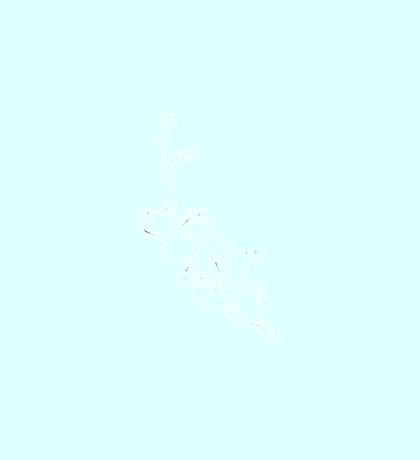 C[C@@H]1C[C@H]2[C@@H]3CCC4=CC(=O)C=C[C@]4(C)[C@@]3(F)[C@@H](O)C[C@]2(C)[C@@]1(O)C(=O)COC(=O)CCl